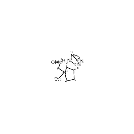 CC[N+]1(COC)CCCC1.N#CN.N#CN